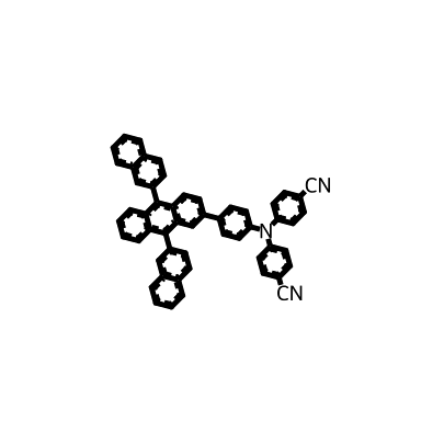 N#Cc1ccc(N(c2ccc(C#N)cc2)c2ccc(-c3ccc4c(-c5ccc6ccccc6c5)c5ccccc5c(-c5ccc6ccccc6c5)c4c3)cc2)cc1